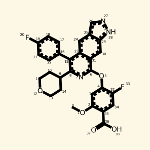 COc1cc(Oc2nc(C3CCOCC3)c(-c3ccc(F)cc3)c3cc4cn[nH]c4cc23)c(F)cc1C(=O)O